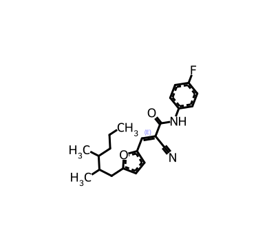 CCCC(C)C(C)Cc1ccc(/C=C(\C#N)C(=O)Nc2ccc(F)cc2)o1